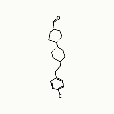 O=C[C@H]1CC[C@H]([C@H]2CC[C@H](CCc3ccc(Cl)cc3)CC2)CC1